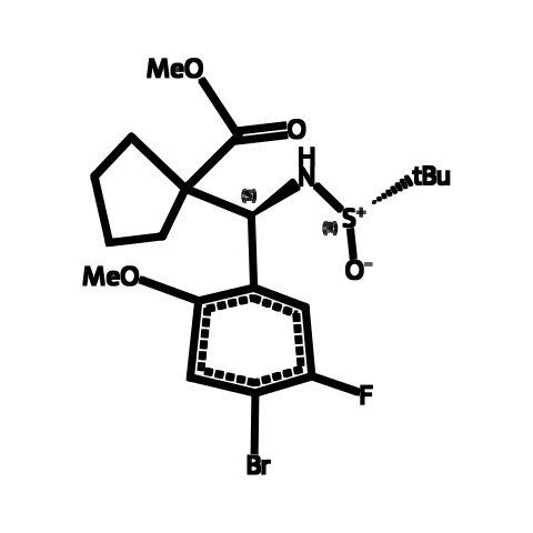 COC(=O)C1([C@@H](N[S@@+]([O-])C(C)(C)C)c2cc(F)c(Br)cc2OC)CCCC1